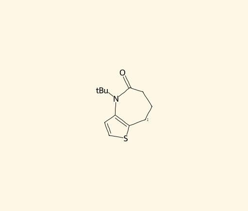 CC(C)(C)N1C(=O)CC[C]c2sccc21